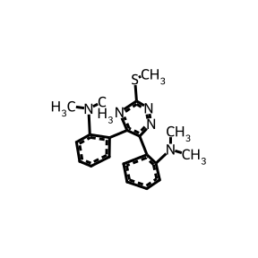 CSc1nnc(-c2ccccc2N(C)C)c(-c2ccccc2N(C)C)n1